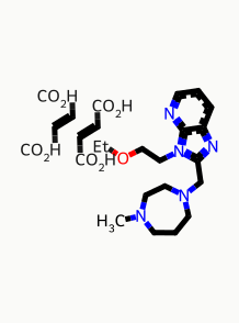 CCOCCn1c(CN2CCCN(C)CC2)nc2cccnc21.O=C(O)C=CC(=O)O.O=C(O)C=CC(=O)O